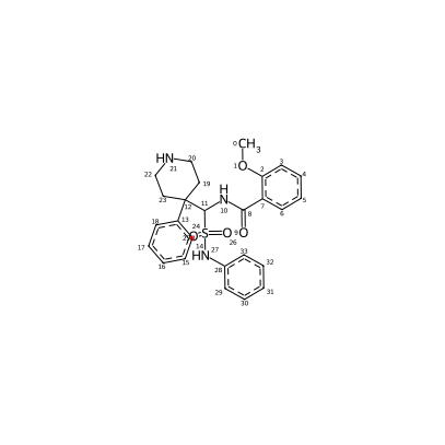 COc1ccccc1C(=O)NC(C1(c2ccccc2)CCNCC1)S(=O)(=O)Nc1ccccc1